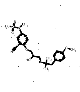 COc1ccc(CC(C)(C)NCC(O)COc2ccc(N(C)S(C)(=O)=O)cc2C#N)cc1